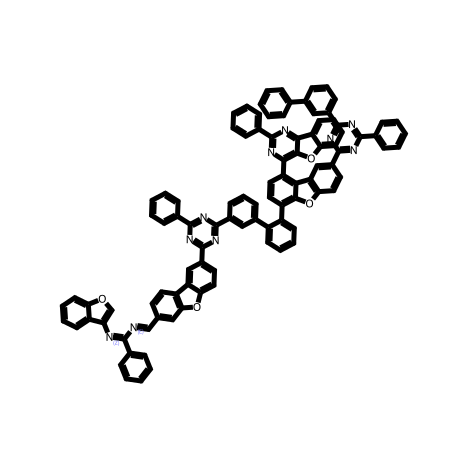 C(=N\C(=N/c1coc2ccccc12)c1ccccc1)/c1ccc2c(c1)oc1ccc(-c3nc(-c4ccccc4)nc(-c4cccc(-c5ccccc5-c5ccc(-c6nc(-c7ccccc7)nc7c6oc6ccccc67)c6c5oc5ccc(-c7nc(-c8ccccc8)nc(-c8cccc(-c9ccccc9)c8)n7)cc56)c4)n3)cc12